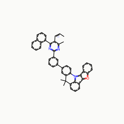 C/C=C\c1c(C)nc(-c2cccc(-c3ccc4c(c3)C(C)(C)c3cccc5c6oc7ccccc7c6n-4c35)c2)nc1-c1cccc2ccccc12